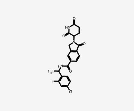 O=C1CCC(N2Cc3cc(C(=O)NC(c4ccc(Cl)cc4F)C(F)(F)F)ccc3C2=O)C(=O)N1